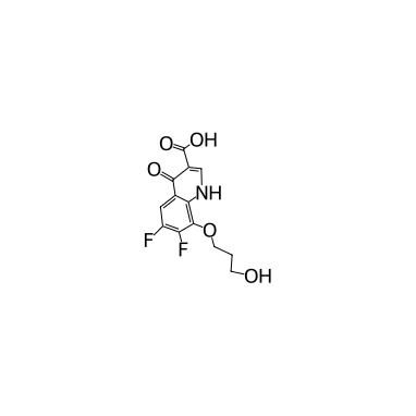 O=C(O)c1c[nH]c2c(OCCCO)c(F)c(F)cc2c1=O